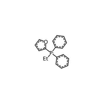 CC[P](c1ccccc1)(c1ccccc1)c1ccco1